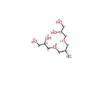 CCC(COCC(O)CO)COCC(O)CO